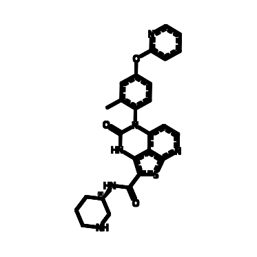 Cc1cc(Oc2ccccn2)ccc1N1C(=O)Nc2c(C(=O)N[C@@H]3CCCNC3)sc3nccc1c23